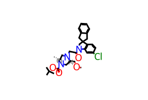 COC[C@H]1CN(C(=O)OC(C)(C)C)[C@H](C)CN1CC(=O)N1CC2(Cc3ccccc3C2)c2ccc(Cl)cc21